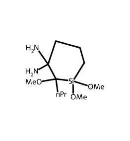 CCCC1(OC)C(N)(N)CCC[Si]1(OC)OC